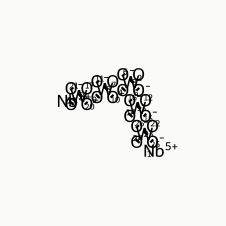 [Nb+5].[Nb+5].[O]=[W](=[O])([O-])[O-].[O]=[W](=[O])([O-])[O-].[O]=[W](=[O])([O-])[O-].[O]=[W](=[O])([O-])[O-].[O]=[W](=[O])([O-])[O-]